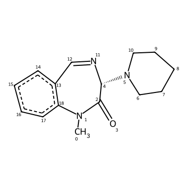 CN1C(=O)[C@@H](N2CCCCC2)N=Cc2ccccc21